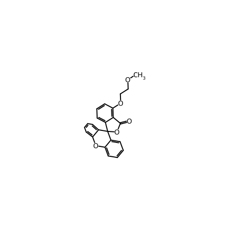 COCCOc1cccc2c1C(=O)OC21c2ccccc2Oc2ccccc21